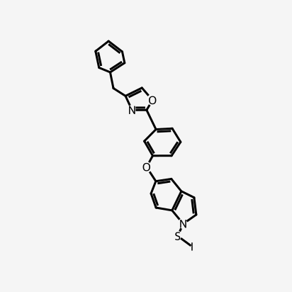 ISn1ccc2cc(Oc3cccc(-c4nc(Cc5ccccc5)co4)c3)ccc21